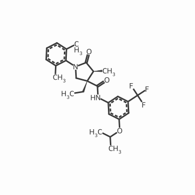 CC[C@@]1(C(=O)Nc2cc(OC(C)C)cc(C(F)(F)F)c2)CN(c2c(C)cccc2C)C(=O)[C@H]1C